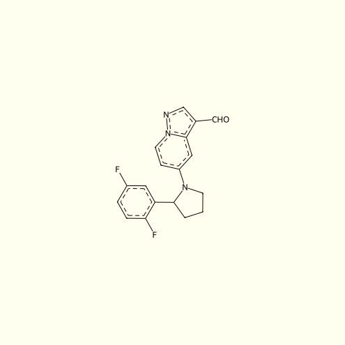 O=Cc1cnn2ccc(N3CCCC3c3cc(F)ccc3F)cc12